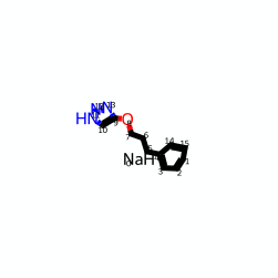 [NaH].c1ccc(CCCOc2c[nH]nn2)cc1